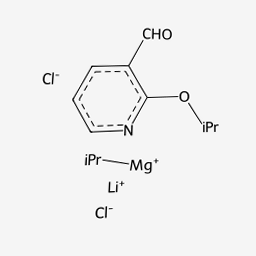 CC(C)Oc1ncccc1C=O.C[CH](C)[Mg+].[Cl-].[Cl-].[Li+]